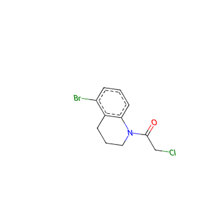 O=C(CCl)N1CCCc2c(Br)cccc21